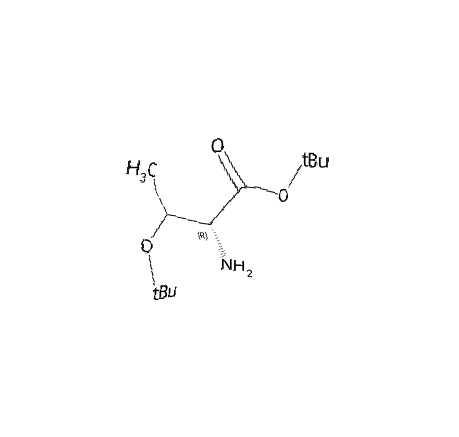 CC(OC(C)(C)C)[C@@H](N)C(=O)OC(C)(C)C